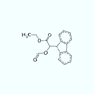 CCOC(=O)C(O[C]=O)C1c2ccccc2-c2ccccc21